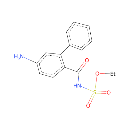 CCOS(=O)(=O)NC(=O)c1ccc(N)cc1-c1ccccc1